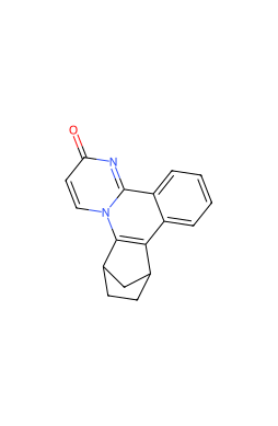 O=c1ccn2c3c(c4ccccc4c2n1)C1CCC3C1